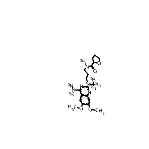 [2H]N(CCCN(c1nc(N([2H])[2H])c2cc(OC)c(OC)cc2n1)C([2H])([2H])[2H])C(=O)C1CCCO1